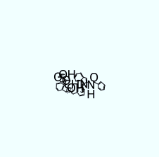 Cc1c(C[C@@H](O)Cc2cccc(-n3c(NC(=O)c4ccccc4)cc4ccccc43)c2)cccc1S(=O)(=O)O